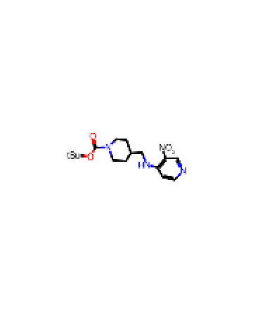 CC(C)(C)OC(=O)N1CCC(CNc2ccncc2[N+](=O)[O-])CC1